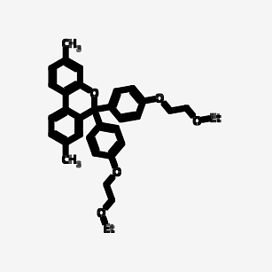 CCOCCOc1ccc(C2(c3ccc(OCCOCC)cc3)Oc3cc(C)ccc3-c3ccc(C)cc32)cc1